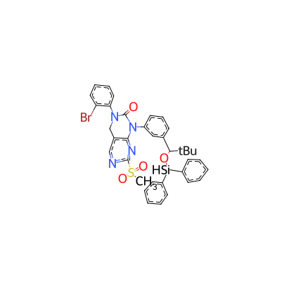 CC(C)(C)C(O[SiH](c1ccccc1)c1ccccc1)c1cccc(N2C(=O)N(c3ccccc3Br)Cc3cnc(S(C)(=O)=O)nc32)c1